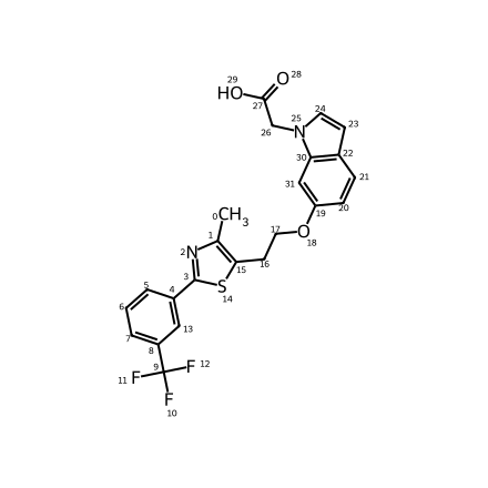 Cc1nc(-c2cccc(C(F)(F)F)c2)sc1CCOc1ccc2ccn(CC(=O)O)c2c1